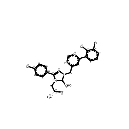 O=CC1N(Cc2cc(-c3cccc(Cl)c3Cl)ncn2)N=C(c2ccc(Cl)cc2)N1C[C@H](O)C(F)(F)F